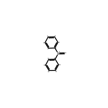 [CH]=[Si](c1ccccc1)c1ccccc1